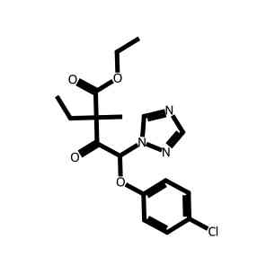 CCOC(=O)C(C)(CC)C(=O)C(Oc1ccc(Cl)cc1)n1cncn1